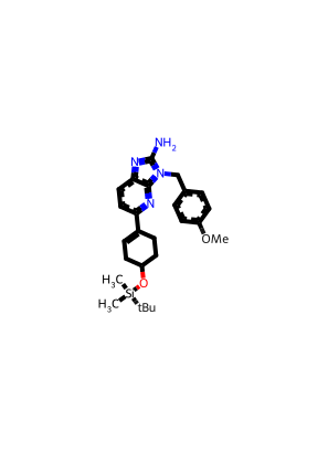 COc1ccc(Cn2c(N)nc3ccc(C4=CCC(O[Si](C)(C)C(C)(C)C)CC4)nc32)cc1